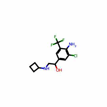 Nc1c(Cl)cc(C(O)CNC2CCC2)cc1C(F)(F)F